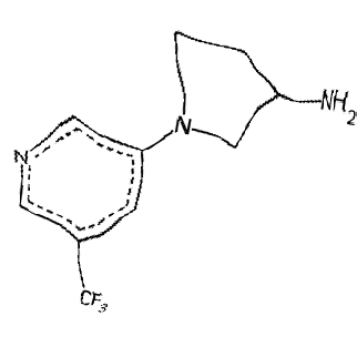 NC1CCN(c2cncc(C(F)(F)F)c2)C1